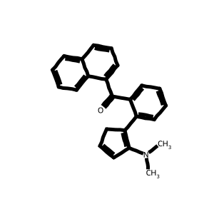 CN(C)C1=C(c2ccccc2C(=O)c2cccc3ccccc23)CC=C1